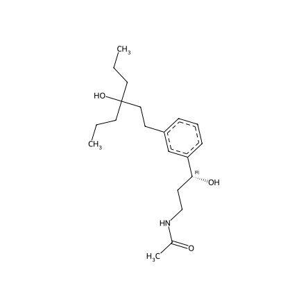 CCCC(O)(CCC)CCc1cccc([C@H](O)CCNC(C)=O)c1